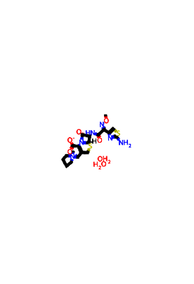 CON=C(C(=O)N[C@@H]1C(=O)N2C(C(=O)[O-])=C(C[N+]3(C)CCCC3)CS[C@H]12)c1csc(N)n1.O.O